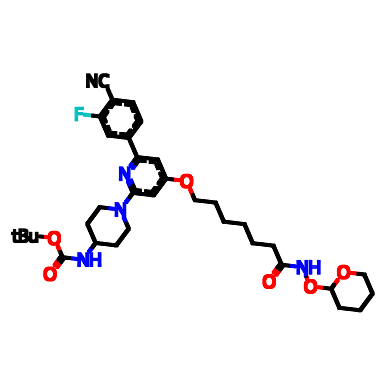 CC(C)(C)OC(=O)NC1CCN(c2cc(OCCCCCCC(=O)NOC3CCCCO3)cc(-c3ccc(C#N)c(F)c3)n2)CC1